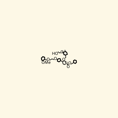 COc1ccccc1COCCCOc1ccc(C2CCN(C(=O)OCc3ccccc3)CC2OCc2ccc(C)c(OCCO)c2)cc1